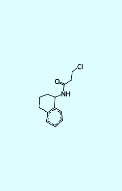 O=C(CCCl)NC1CCCc2ccccc21